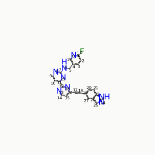 Fc1ccc(CNc2nccc(-c3nccc(C#Cc4ccc5[nH]ncc5c4)n3)n2)cn1